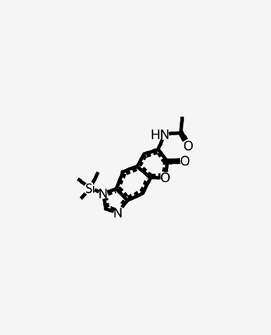 CC(=O)Nc1cc2cc3c(cc2oc1=O)ncn3[Si](C)(C)C